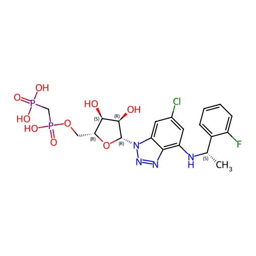 C[C@H](Nc1cc(Cl)cc2c1nnn2[C@@H]1O[C@H](COP(=O)(O)CP(=O)(O)O)[C@@H](O)[C@H]1O)c1ccccc1F